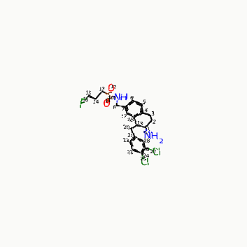 NC1CCc2ccc(CNS(=O)(=O)CCCF)cc2C1Cc1ccc(Cl)c(Cl)c1